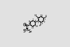 Cc1cc(C)c(-c2ccc(P(=O)=S(=S)=S)cc2)c(C)c1